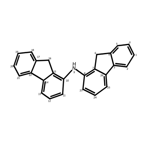 c1ccc2c(c1)Cc1c(Nc3cccc4c3Cc3ccccc3-4)cccc1-2